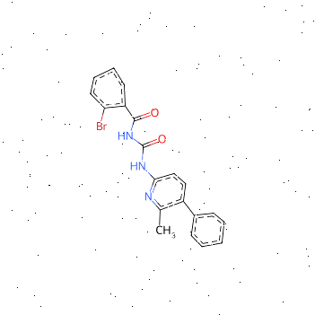 Cc1nc(NC(=O)NC(=O)c2ccccc2Br)ccc1-c1ccccc1